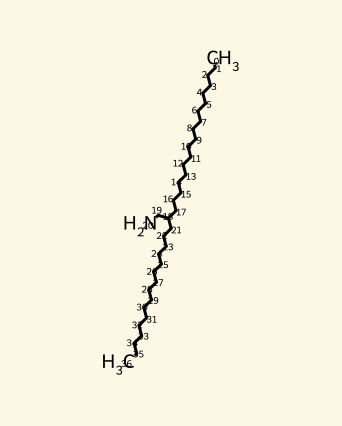 CCCCCCCCCCCCCCCCCCC(CN)CCCCCCCCCCCCCCCC